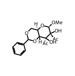 CO[C@@H]1O[C@@H]2COC(c3ccccc3)O[C@H]2[C@@](O)(C(C)=O)[C@]1(O)C(C)=O